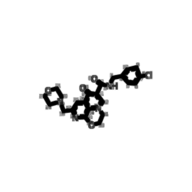 O=C(NCc1ccc(Cl)cc1)c1cn2c3c(nc(CN4CCOCC4)cc3c1=O)OCC2